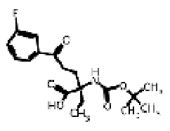 CC[C@@](CCC(=O)c1cccc(F)c1)(NC(=O)OC(C)(C)C)C(=O)O